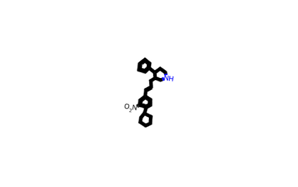 O=[N+]([O-])c1cc(/C=C/CC2CNCCC2c2ccccc2)ccc1C1CCCCC1